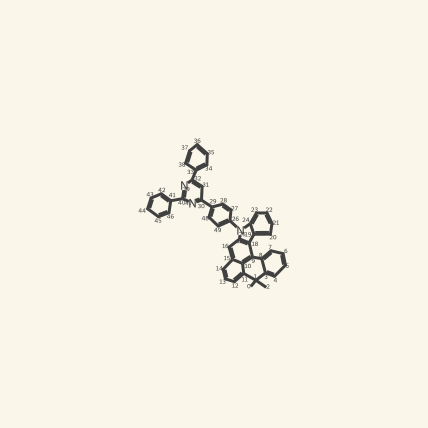 CC1(C)c2ccccc2-c2c3c1cccc3cc1c2c2ccccc2n1-c1ccc(-c2cc(-c3ccccc3)nc(-c3ccccc3)n2)cc1